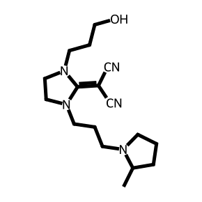 CC1CCCN1CCCN1CCN(CCCO)C1=C(C#N)C#N